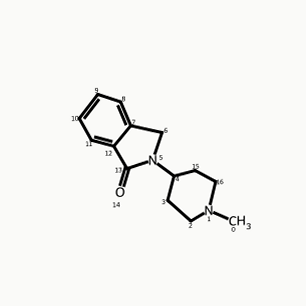 CN1CCC(N2Cc3ccccc3C2=O)CC1